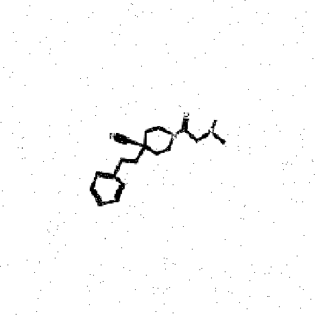 CN(C)CC(=O)N1CCC(C#N)(CCc2ccccc2)CC1